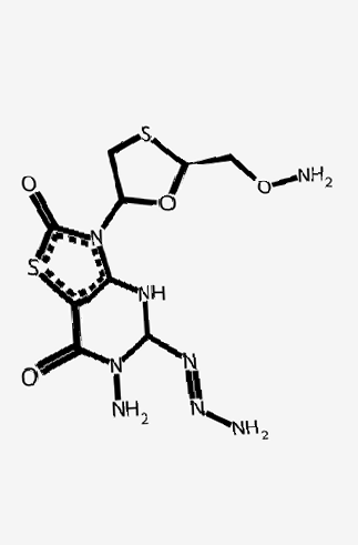 NN=NC1Nc2c(sc(=O)n2C2CS[C@@H](CON)O2)C(=O)N1N